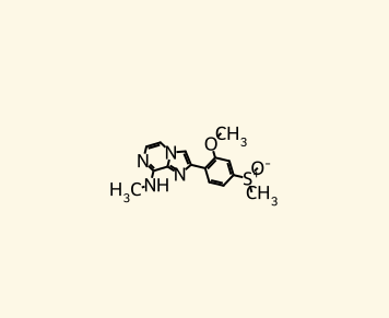 CNc1nccn2cc(-c3ccc([S+](C)[O-])cc3OC)nc12